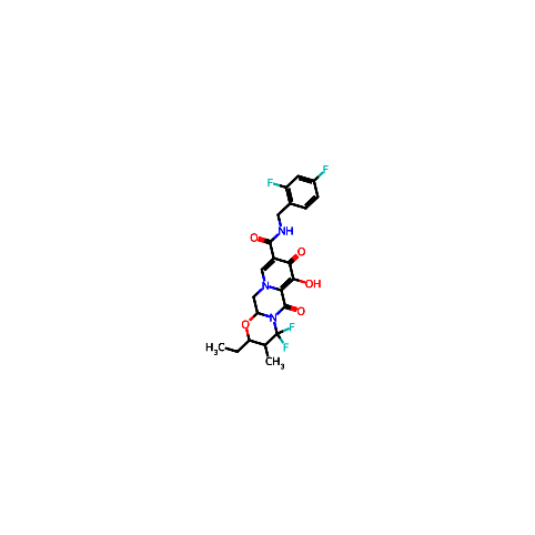 CCC1OC2Cn3cc(C(=O)NCc4ccc(F)cc4F)c(=O)c(O)c3C(=O)N2C(F)(F)C1C